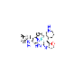 [2H]C([2H])([2H])Nc1cc(C)nc(Nc2nc3c(c(C4=CCNCCC4)c2F)OCC3)c1